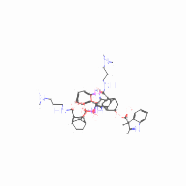 CC1=Nc2ccccc2C1(C)C(=O)OC1CC2CCC1C(C(=O)NC(=O)C1C3CCC(CC3OC(=O)C3(C)C(C)=Nc4ccccc43)C1C(=O)NCCCN(C)C)C2C(=O)NCCCN(C)C